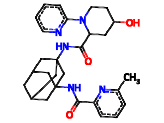 Cc1cccc(C(=O)NC23CC4CC(C2)CC(NC(=O)C2CC(O)CCN2c2ccccn2)(C4)C3)n1